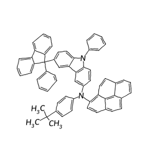 CC(C)(C)c1ccc(N(c2ccc3c(c2)c2cc(C4(c5ccccc5)c5ccccc5-c5ccccc54)ccc2n3-c2ccccc2)c2ccc3ccc4cccc5ccc2c3c45)cc1